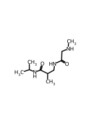 CNCC(=O)NCC(C)C(=O)NC(C)C